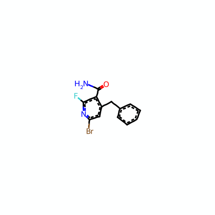 NC(=O)c1c(Cc2ccccc2)cc(Br)nc1F